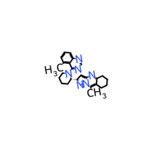 Cc1cccc2ncnc(N3CCCC[C@H]3c3cc4nc5c(c(C)n4n3)CCCC5)c12